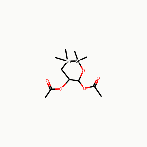 CC(=O)OC1[CH2][Sn]([CH3])([CH3])[Sn]([CH3])([CH3])[O]C1OC(C)=O